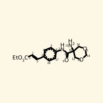 CCOC(=O)C=Cc1ccc(NC(=O)C2(N)COCOC2)cc1